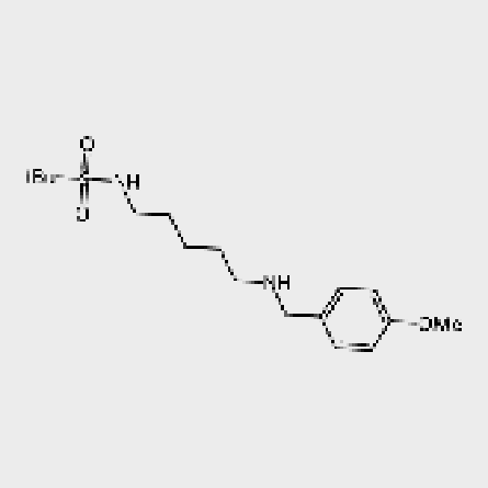 COc1ccc(CNCCCCCNS(=O)(=O)C(C)(C)C)cc1